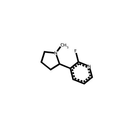 CN1CCCC1c1cccnc1F